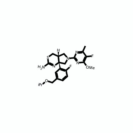 COc1nc(N2C[C@H]3CSC(N)=N[C@@]3(c3cc(COC(C)C)ccc3F)C2)nc(C)c1F